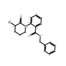 O=C(OCc1ccccc1)c1ccccc1N1CCCC(Br)C1=O